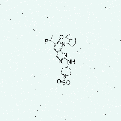 CC(F)c1cc2cnc(NC3CCN(S(C)(=O)=O)CC3)nc2n(C2CCCC23CC3)c1=O